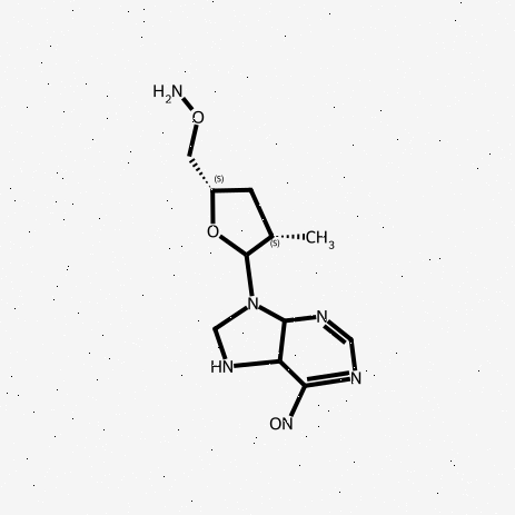 C[C@H]1C[C@@H](CON)OC1N1CNC2C(N=O)=NC=NC21